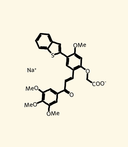 COc1cc(OCC(=O)[O-])c(C=CC(=O)c2cc(OC)c(OC)c(OC)c2)cc1-c1cc2ccccc2s1.[Na+]